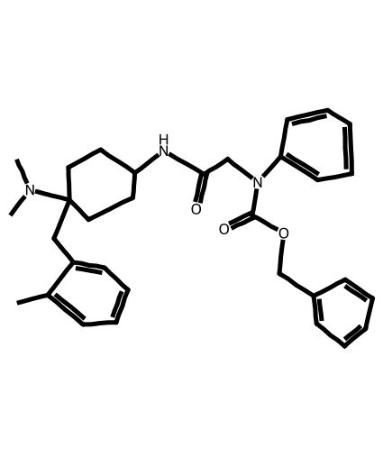 Cc1ccccc1CC1(N(C)C)CCC(NC(=O)CN(C(=O)OCc2ccccc2)c2ccccc2)CC1